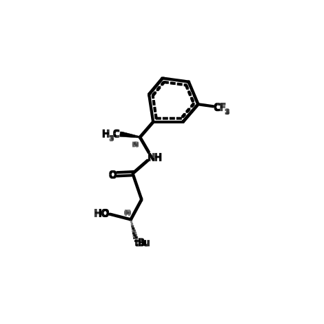 C[C@H](NC(=O)C[C@@H](O)C(C)(C)C)c1cccc(C(F)(F)F)c1